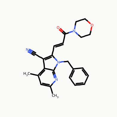 Cc1cc(C)c2c(C#N)c(/C=C/C(=O)N3CCOCC3)n(Cc3ccccc3)c2n1